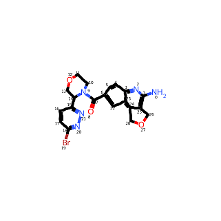 Nc1nc2ccc(C(=O)N3CCOCC3c3ccc(Br)nn3)cc2c2c1COC2